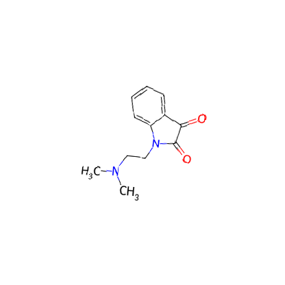 CN(C)CCN1C(=O)C(=O)c2ccccc21